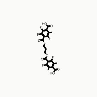 O=C(O)c1c(F)c(F)c(C(=O)OCCCOC(=O)c2c(F)c(F)c(C(=O)O)c(F)c2F)c(F)c1F